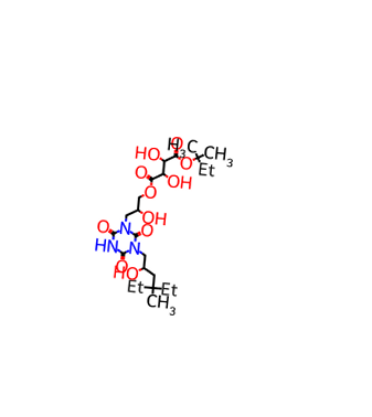 CCC(C)(CC)CC(O)Cn1c(=O)[nH]c(=O)n(CC(O)COC(=O)C(O)C(O)C(=O)OC(C)(C)CC)c1=O